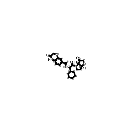 O=C1COc2cc(C(=O)N[C@H](C(=O)N3CC[C@H]4OCC(=O)[C@H]43)C3CCCCC3)ccc2N1